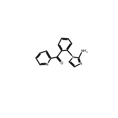 Nc1nccn1-c1ccccc1C(=O)c1ccccn1